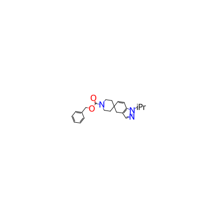 CC(C)n1ncc2c1C=CC1(CCN(C(=O)OCc3ccccc3)CC1)C2